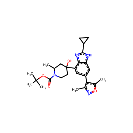 Cc1noc(C)c1-c1cc(C2(O)CCN(C(=O)OC(C)(C)C)C(C)C2)c2nc(C3CC3)[nH]c2c1